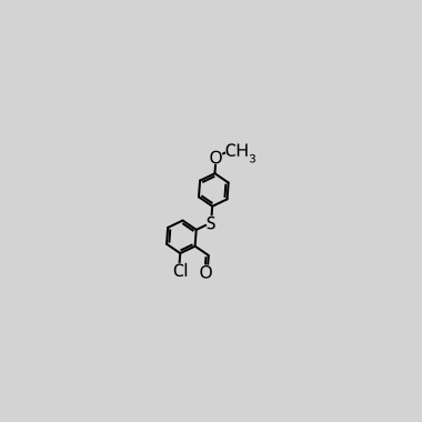 COc1ccc(Sc2cccc(Cl)c2C=O)cc1